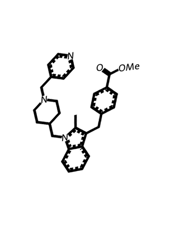 COC(=O)c1ccc(Cc2c(C)n(CC3CCN(Cc4ccncc4)CC3)c3ccccc23)cc1